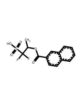 CC(OC(=O)c1ccc2ccccc2c1)C(F)(F)S(=O)(=O)O